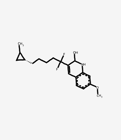 COc1ccc2c(c1)NC(O)C(C(F)(F)CCCC[C@@H]1CC1C)=C2